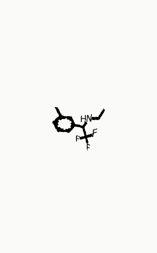 CCNC(c1cccc(C)c1)C(F)(F)F